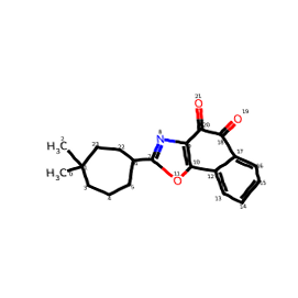 CC1(C)CCCC(c2nc3c(o2)-c2ccccc2C(=O)C3=O)CC1